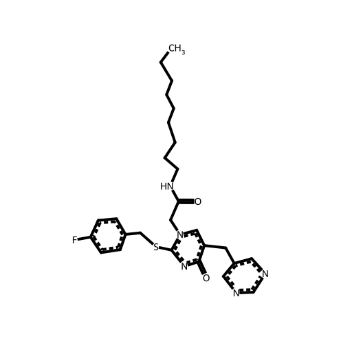 CCCCCCCCCNC(=O)Cn1cc(Cc2cncnc2)c(=O)nc1SCc1ccc(F)cc1